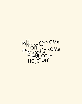 COCCc1ccc(OCC(O)CNC(C)C)cc1.COCCc1ccc(OCC(O)CNC(C)C)cc1.O=C(O)C(O)C(O)C(=O)O